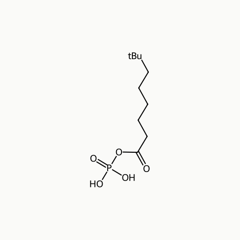 CC(C)(C)CCCCCC(=O)OP(=O)(O)O